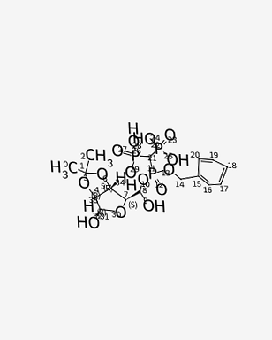 CC1(C)O[C@@H]2[C@H](O1)[C@@H](C(O)OP(=O)(OCc1ccccc1)C(P(=O)(O)O)P(=O)(O)O)O[C@H]2O